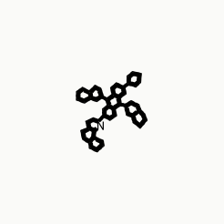 c1ccc(-c2ccc3c(-c4ccc5ccccc5c4)c4cc(-c5ccc6ccc7ccccc7c6n5)ccc4c(-c4ccc5ccccc5c4)c3c2)cc1